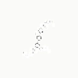 C=CC(=O)Oc1ccc2c(c1)CCc1cc(-c3ccc(OC(=O)C=C)c(OC)c3)ccc1-2